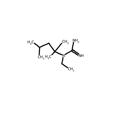 CCN(C(=N)N)C(C)(C)CC(C)C